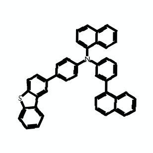 c1cc(-c2cccc3ccccc23)cc(N(c2ccc(-c3ccc4sc5ccccc5c4c3)cc2)c2cccc3ccccc23)c1